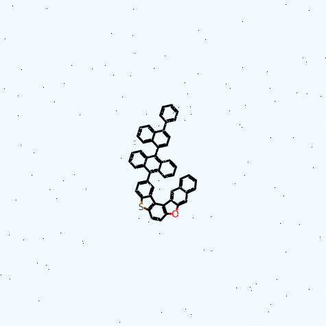 c1ccc(-c2ccc(-c3c4ccccc4c(-c4ccc5sc6ccc7oc8cc9ccccc9cc8c7c6c5c4)c4ccccc34)c3ccccc23)cc1